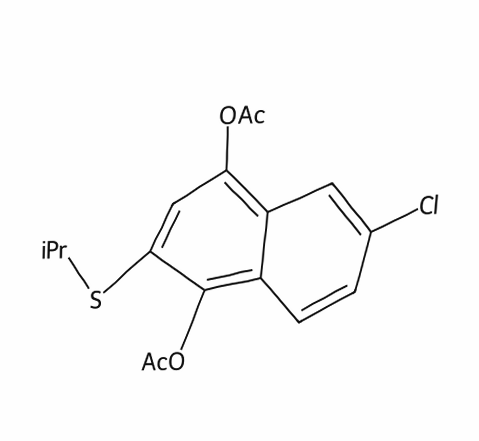 CC(=O)Oc1cc(SC(C)C)c(OC(C)=O)c2ccc(Cl)cc12